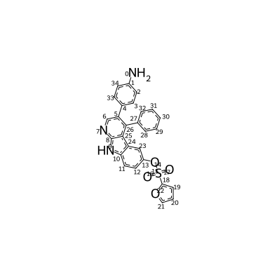 Nc1ccc(-c2cnc3[nH]c4ccc(OS(=O)(=O)c5ccco5)cc4c3c2-c2ccccc2)cc1